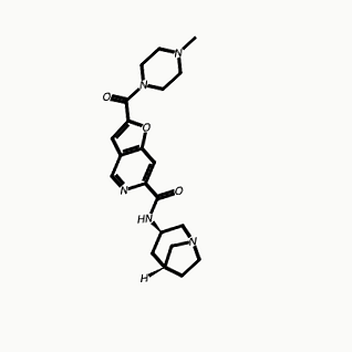 CN1CCN(C(=O)c2cc3cnc(C(=O)N[C@@H]4C[C@H]5CCN(C5)C4)cc3o2)CC1